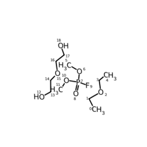 CCOCC.COP(=O)(F)OC.OCCOCCO